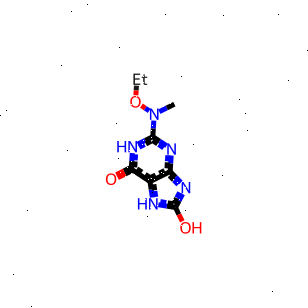 CCON(C)c1nc2nc(O)[nH]c2c(=O)[nH]1